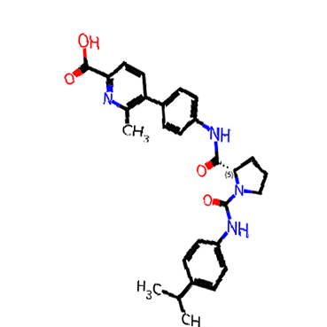 Cc1nc(C(=O)O)ccc1-c1ccc(NC(=O)[C@@H]2CCCN2C(=O)Nc2ccc(C(C)C)cc2)cc1